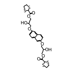 O=C(OCC(O)COc1ccc2cc(OCC(O)COC(=O)C3SCCS3)ccc2c1)C1SCCS1